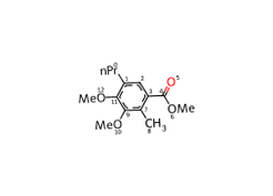 CCCc1cc(C(=O)OC)c(C)c(OC)c1OC